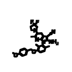 COc1ccc(COc2ccc(C)c(-n3c(N)c(C#N)c4cc(N5CCC(F)(F)C5)c(C)nc43)c2C)cc1